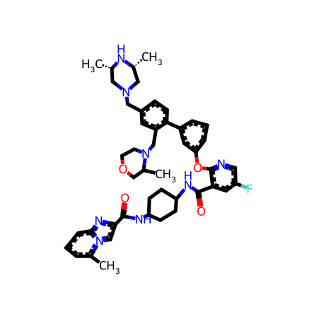 Cc1cccc2nc(C(=O)NC3CCC(NC(=O)c4cc(F)cnc4Oc4cccc(-c5ccc(CN6C[C@@H](C)N[C@@H](C)C6)cc5CN5CCOCC5C)c4)CC3)cn12